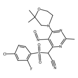 Cc1nc(C(C#N)S(=O)(=O)c2ccc(Cl)cc2F)c(N=O)c(N2CCOC(C)(C)C2)n1